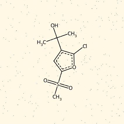 CC(C)(O)c1cc(S(C)(=O)=O)oc1Cl